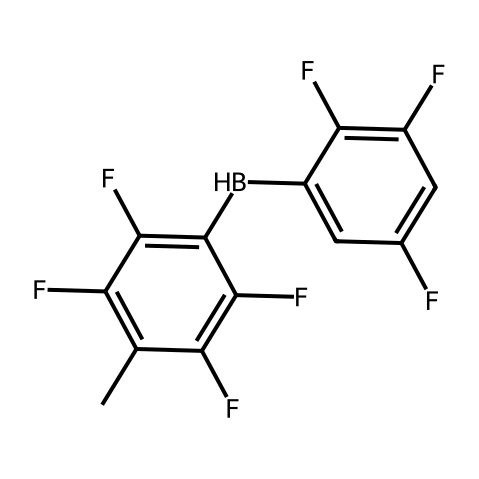 Cc1c(F)c(F)c(Bc2cc(F)cc(F)c2F)c(F)c1F